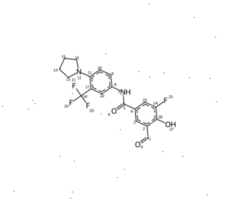 O=Cc1cc(C(=O)Nc2ccc(N3CCCC3)c(C(F)(F)F)c2)cc(F)c1O